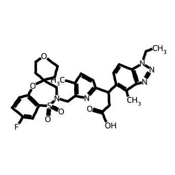 CCn1nnc2c(C)c(C(CC(=O)O)c3ccc(C)c(CN4CC5(CCOCC5)Oc5ccc(F)cc5S4(=O)=O)n3)ccc21